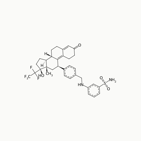 C[C@]12C[C@H](c3ccc(CNc4cccc(S(N)(=O)=O)c4)cc3)C3=C4CCC(=O)C=C4CC[C@H]3[C@@H]1CC[C@@]2(O)C(F)(F)C(F)(F)F